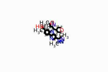 Cc1cc(C(C2CCOCC2)n2c3cc(C(C)(C)O)ccc3c3ncc(-c4c(C)nnn4C)cc32)no1